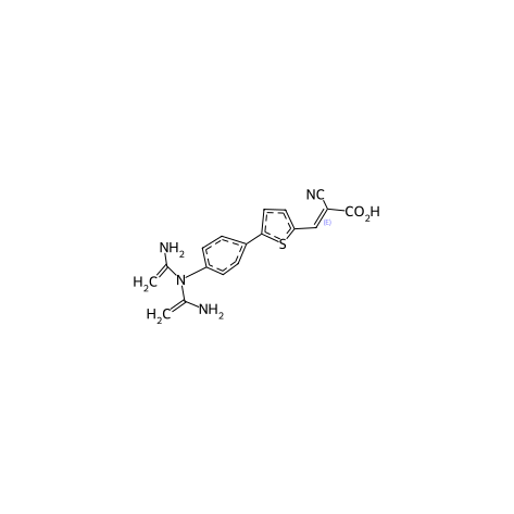 C=C(N)N(C(=C)N)c1ccc(-c2ccc(/C=C(\C#N)C(=O)O)s2)cc1